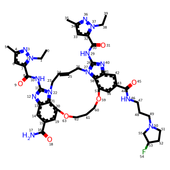 CCn1nc(C)cc1C(=O)Nc1nc2cc(C(N)=O)cc3c2n1C/C=C/Cn1c(NC(=O)c2cc(C)nn2CC)nc2cc(C(=O)NCCCN4CCC(F)C4)cc(c21)OCCCO3